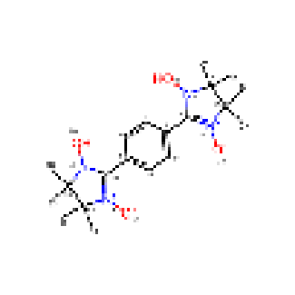 CC1(C)N(O)C(c2ccc(C3=[N+]([O-])C(C)(C)C(C)(C)N3O)cc2)=[N+]([O-])C1(C)C